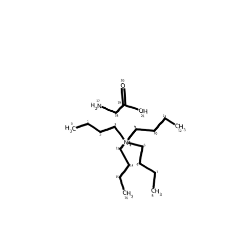 CCCC[N+](CCCC)(CCCC)CCCC.NCC(=O)O